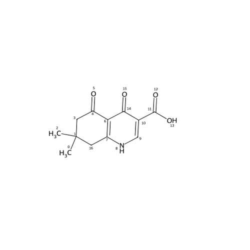 CC1(C)CC(=O)c2c([nH]cc(C(=O)O)c2=O)C1